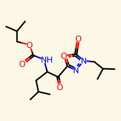 CC(C)COC(=O)NC(CC(C)C)C(=O)c1nn(CC(C)C)c(=O)o1